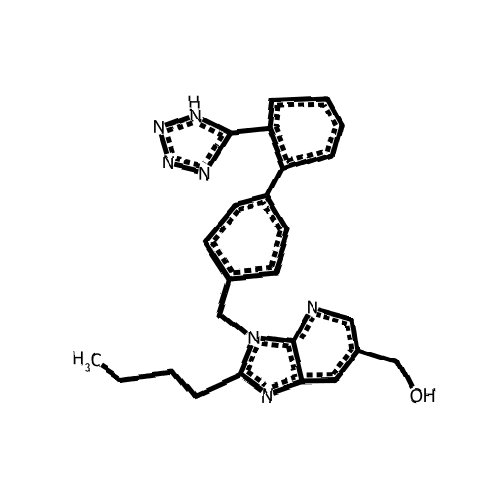 CCCCc1nc2cc(CO)cnc2n1Cc1ccc(-c2ccccc2-c2nnn[nH]2)cc1